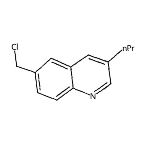 CCCc1cnc2ccc(CCl)cc2c1